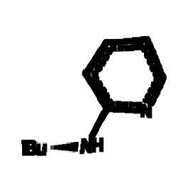 CC[C@@H](C)Nc1ccccn1